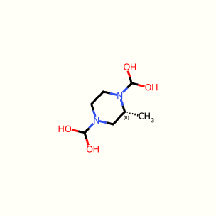 C[C@@H]1CN(C(O)O)CCN1C(O)O